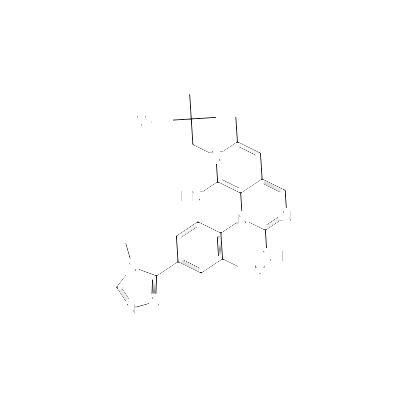 COc1cc(-c2nncn2C)ccc1N1C(N)=NC=C2C=C(C)N(CC(C)(C)OC)C(N)=C21